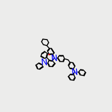 c1ccc(N(c2ccccc2)c2ccc(Cc3ccc(N(c4ccc(C5CCCCC5)cc4)c4cccc5c4c4ccccc4n5-c4ccccc4)cc3)cc2)cc1